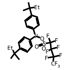 CCC(C)(C)c1ccc([I+](OS(=O)(=O)C(F)(F)C(F)(F)C(F)(F)C(F)(F)F)c2ccc(C(C)(C)CC)cc2)cc1